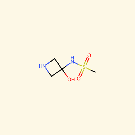 CS(=O)(=O)NC1(O)CNC1